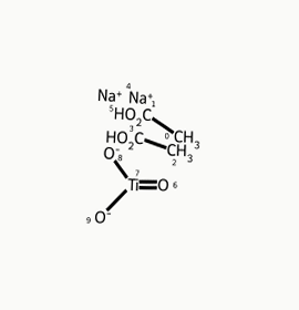 CC(=O)O.CC(=O)O.[Na+].[Na+].[O]=[Ti]([O-])[O-]